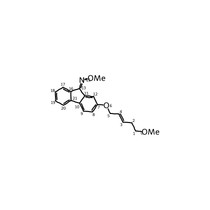 COCC/C=C/COc1ccc2c(c1)/C(=N\OC)c1ccccc1-2